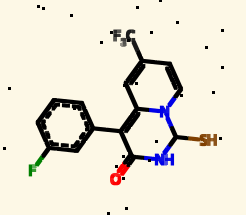 O=C1NC(S)N2C=CC(C(F)(F)F)=CC2=C1c1cccc(F)c1